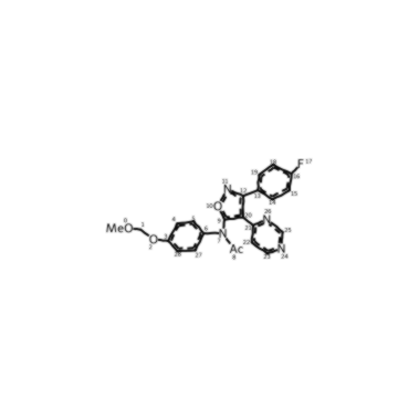 COCOc1ccc(N(C(C)=O)c2onc(-c3ccc(F)cc3)c2-c2ccncn2)cc1